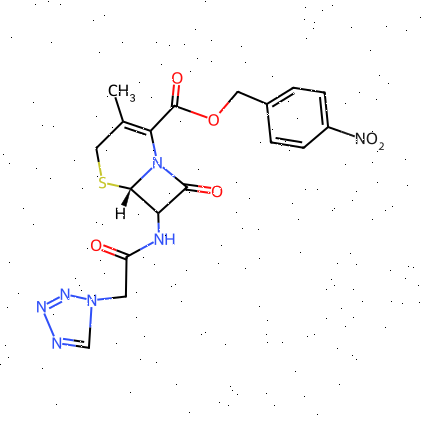 CC1=C(C(=O)OCc2ccc([N+](=O)[O-])cc2)N2C(=O)C(NC(=O)Cn3cnnn3)[C@@H]2SC1